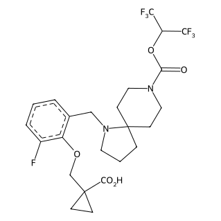 O=C(OC(C(F)(F)F)C(F)(F)F)N1CCC2(CCCN2Cc2cccc(F)c2OCC2(C(=O)O)CC2)CC1